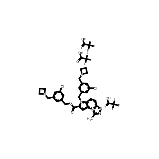 Cc1nnc2ccc3c(cc(C(=O)OCc4cc(Cl)cc(CN5CCC5)c4)n3Cc3cc(Cl)cc(CN4CCC4)c3)n12.O=C(O)C(F)(F)F.O=C(O)C(F)(F)F.O=C(O)C(F)(F)F